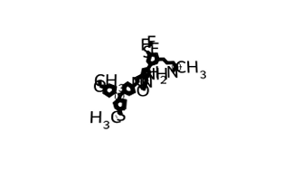 COc1ccc([C@@H](c2ccc(SC)cc2)c2ccc(-n3cc4cc(-c5cc(CCC[C@H](C)N)cc(SC(F)(F)F)c5)[nH]c4nc3=O)cc2)cc1